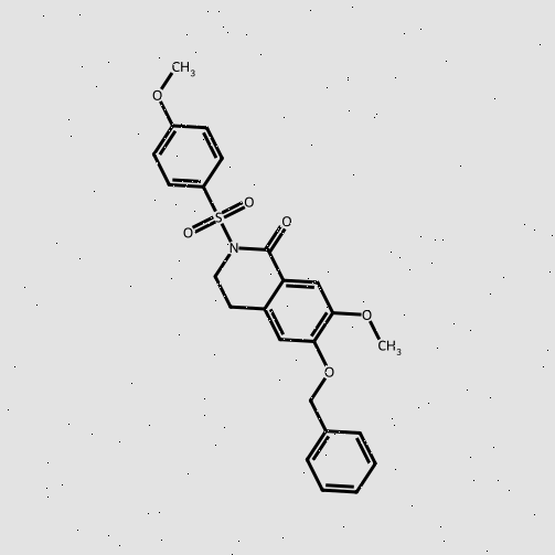 COc1ccc(S(=O)(=O)N2CCc3cc(OCc4ccccc4)c(OC)cc3C2=O)cc1